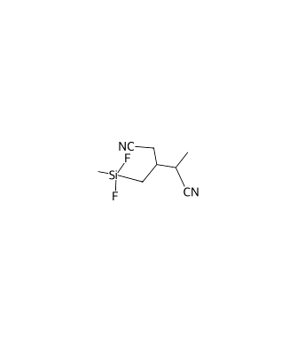 CC(C#N)C(CC#N)C[Si](C)(F)F